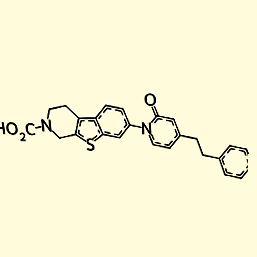 O=C(O)N1CCc2c(sc3cc(-n4ccc(CCc5ccccc5)cc4=O)ccc23)C1